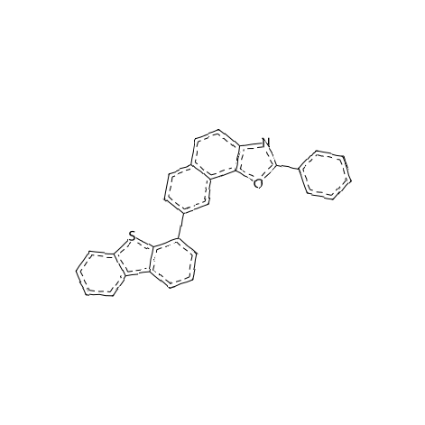 c1ccc(-c2nc3ccc4ccc(-c5cccc6c5sc5ccccc56)cc4c3o2)cc1